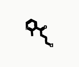 Cc1ncccc1C(=O)CCCCl